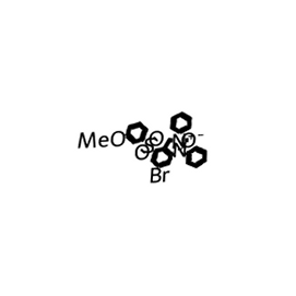 COc1cccc(S(=O)(=O)c2cc(Br)cc3c2C[N+]([O-])(c2ccccc2)N3c2ccccc2)c1